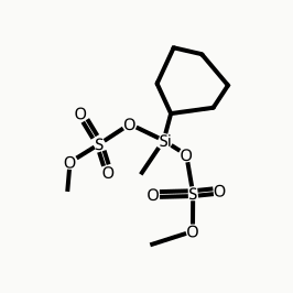 COS(=O)(=O)O[Si](C)(OS(=O)(=O)OC)C1CCCCC1